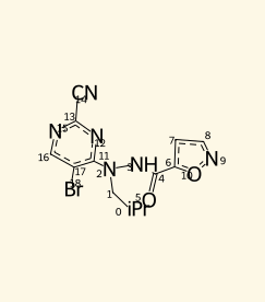 CC(C)CN(NC(=O)c1ccno1)c1nc(C#N)ncc1Br